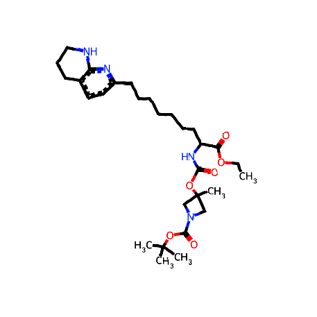 CCOC(=O)C(CCCCCCCc1ccc2c(n1)NCCC2)NC(=O)OC1(C)CN(C(=O)OC(C)(C)C)C1